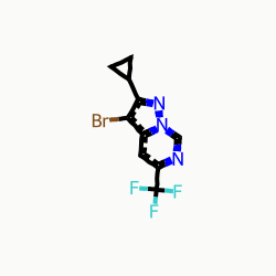 FC(F)(F)c1cc2c(Br)c(C3CC3)nn2cn1